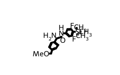 COCc1ccc([C@@H](N)C(=O)Nc2cc(F)c([Si](C)(C)C)c(F)c2)cc1